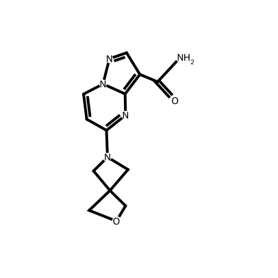 NC(=O)c1cnn2ccc(N3CC4(COC4)C3)nc12